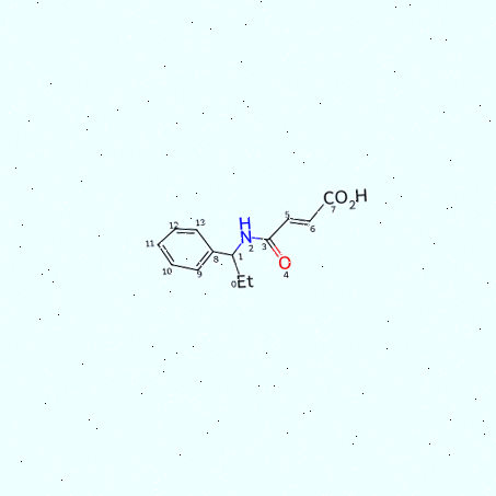 CCC(NC(=O)C=CC(=O)O)c1ccccc1